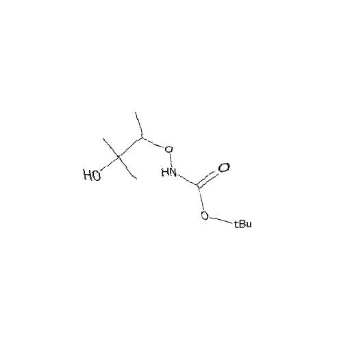 CC(ONC(=O)OC(C)(C)C)C(C)(C)O